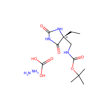 CC[C@]1(CNC(=O)OC(C)(C)C)NC(=O)NC1=O.N.N.O=C(O)O